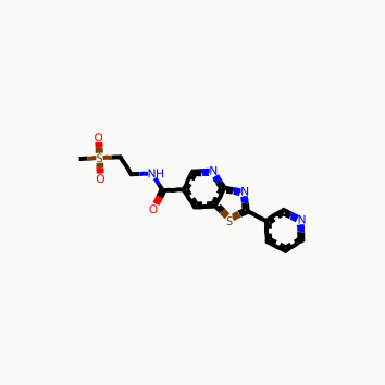 CS(=O)(=O)CCNC(=O)c1cnc2nc(-c3cccnc3)sc2c1